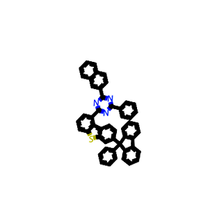 c1ccc(-c2nc(-c3ccc4ccccc4c3)nc(-c3cccc4sc5cc(C6(c7ccccc7)c7ccccc7-c7ccccc76)ccc5c34)n2)cc1